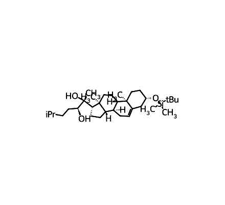 CC(C)CC[C@H](O)[C@](C)(O)[C@H]1CC[C@H]2[C@@H]3CC=C4C[C@@H](O[Si](C)(C)C(C)(C)C)CC[C@]4(C)[C@H]3CC[C@]12C